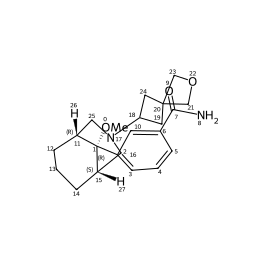 CO[C@@]1(c2cccc(C(N)=O)c2)[C@@H]2CCC[C@H]1CN(C1CC3(COC3)C1)C2